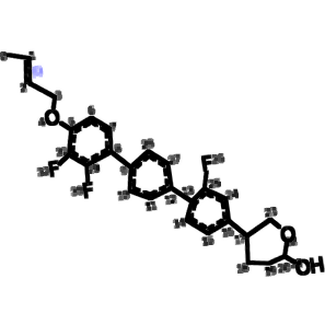 C/C=C/COc1ccc(-c2ccc(-c3ccc(C4CCC(O)OC4)cc3F)cc2)c(F)c1F